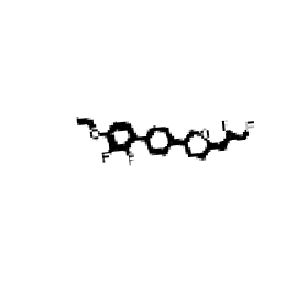 CCOc1ccc(C2CCC(C3CCC(/C=C(\F)CF)OC3)CC2)c(F)c1F